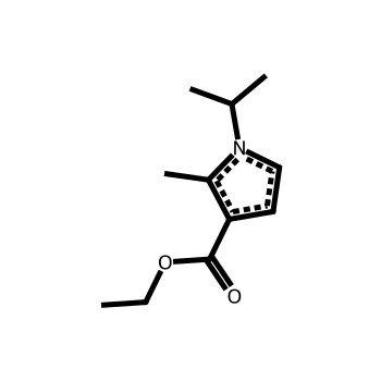 CCOC(=O)c1ccn(C(C)C)c1C